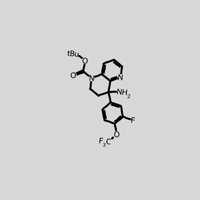 CC(C)(C)OC(=O)N1CCC(N)(c2ccc(OC(F)(F)F)c(F)c2)c2ncccc21